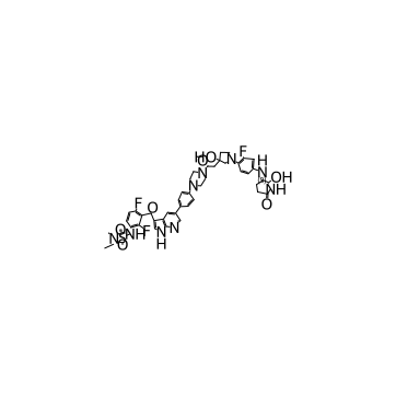 CCN(C)S(=O)(=O)Nc1ccc(F)c(C(=O)c2c[nH]c3ncc(-c4ccc(N5CCN(C(=O)CC6(O)CCN(c7ccc(N[C@H]8CCC(=O)NC8O)cc7F)C6)CC5)cc4)cc23)c1F